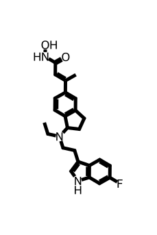 CCN(CCc1c[nH]c2cc(F)ccc12)C1CCc2cc(C(C)=CC(=O)NO)ccc21